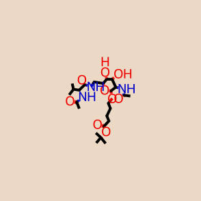 CC(=O)NC1C(OCCCCC(=O)OC(C)(C)C)OC(CNC(=O)[C@H](NC(C)=O)C(C)C)C(O)C1O